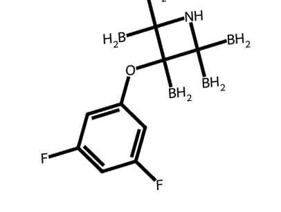 BC1(B)NC(B)(B)C1(B)Oc1cc(F)cc(F)c1